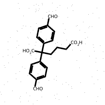 O=Cc1ccc(C(CCCC(=O)O)(C(=O)O)c2ccc(C=O)cc2)cc1